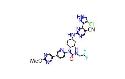 COc1ncc(-c2ccc(N(C(=O)NCC(F)F)C3CCC(Nc4ncc(C#N)c(-c5n[nH]cc5Cl)n4)CC3)nc2)cn1